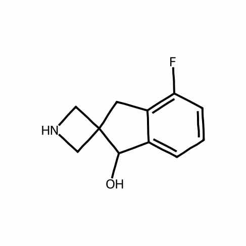 OC1c2cccc(F)c2CC12CNC2